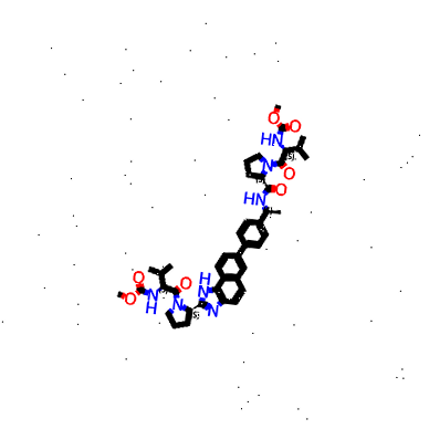 COC(=O)N[C@H](C(=O)N1CCC[C@H]1C(=O)N[C@@H](C)c1ccc(-c2ccc3c(ccc4nc([C@@H]5CCCN5C(=O)[C@@H](NC(=O)OC)C(C)C)[nH]c43)c2)cc1)C(C)C